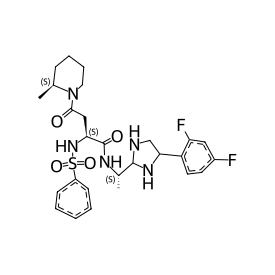 C[C@H](NC(=O)[C@H](CC(=O)N1CCCC[C@@H]1C)NS(=O)(=O)c1ccccc1)C1NCC(c2ccc(F)cc2F)N1